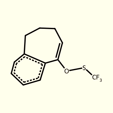 FC(F)(F)SOC1=CCCCc2ccccc21